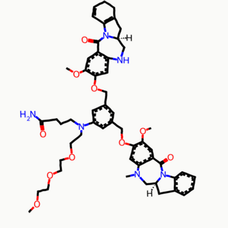 COCCOCCOCCN(CCCC(N)=O)c1cc(COc2cc3c(cc2OC)C(=O)N2C4=C(CCC=C4)C[C@H]2CN3)cc(COc2cc3c(cc2OC)C(=O)N2c4ccccc4C[C@H]2CN3C)c1